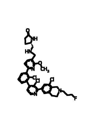 COc1nc(-c2cccc(-c3ccnc(-c4cc(Cl)c5c(c4)CCN(CCCF)C5)c3Cl)c2Cl)ccc1CNC[C@@H]1CCC(=O)N1